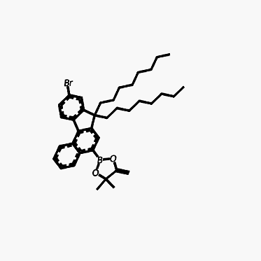 C=C1OB(c2cc3c(c4ccccc24)-c2ccc(Br)cc2C3(CCCCCCCC)CCCCCCCC)OC1(C)C